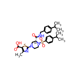 Cc1nc(N2CCN(S(=O)(=O)c3ccc(C(C)C)cc3)[C@@H](C(=O)NCc3ccc(C(C)C)cc3)C2)sc1C(=O)O